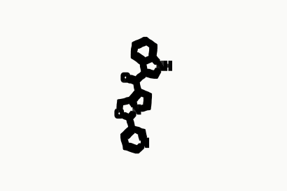 O=C(c1ccn2c1COC2c1cccnc1)c1c[nH]c2ccccc12